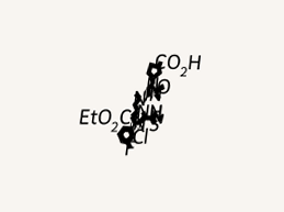 CCOC(=O)C1=C(CN(C)C[C@H]2CN(C3CCC(C(=O)O)C3)C(=O)N2C)NC(c2nccs2)=N[C@H]1c1cccc(F)c1Cl